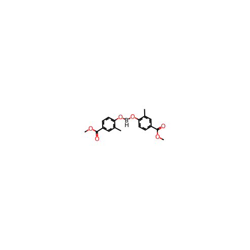 COC(=O)c1ccc(OBOc2ccc(C(=O)OC)cc2C)c(C)c1